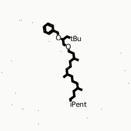 CCCC(C)CCCC(C)CCCC(C)CCCC(C)CCOCC(CC(C)(C)C)OCc1ccccc1